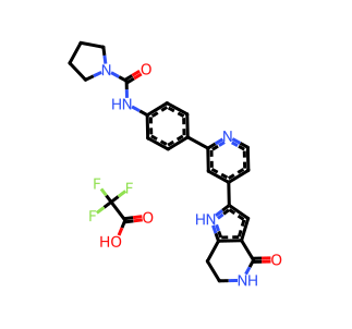 O=C(O)C(F)(F)F.O=C1NCCc2[nH]c(-c3ccnc(-c4ccc(NC(=O)N5CCCC5)cc4)c3)cc21